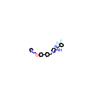 Fc1cccc(C2N=C3C=CN(Cc4ccc(-c5ccc(OCCn6cccc6)cc5)cc4)C=C3N2)c1F